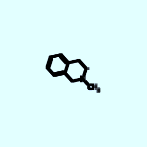 CN1[CH]Cc2ccccc2C1